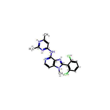 Cc1cc(Nc2nccc3c2nc(-c2c(Cl)cccc2Cl)n3C)nc(C)n1